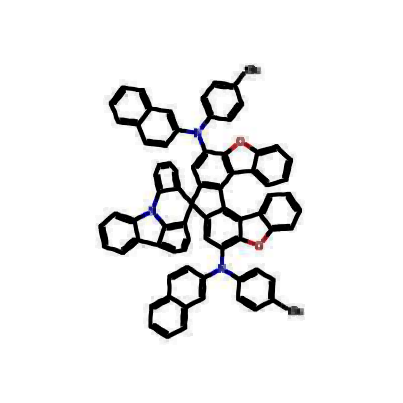 CC(C)(C)c1ccc(N(c2ccc3ccccc3c2)c2cc3c(c4c2oc2ccccc24)-c2c(cc(N(c4ccc(C(C)(C)C)cc4)c4ccc5ccccc5c4)c4oc5ccccc5c24)C32c3ccccc3-n3c4ccccc4c4cccc2c43)cc1